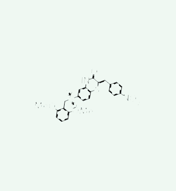 COc1cccc(OC)c1CS(=O)(=O)c1ccc2c(c1)NC(=O)C(=Cc1ccc([N+](=O)[O-])cc1)S2